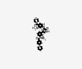 Cc1c(NC(=O)c2ccc(N3CCCCC3)cc2)cccc1-c1c[nH]c(=O)c(Nc2ccc(C(=O)N3CCOCC3)c(N)c2)n1